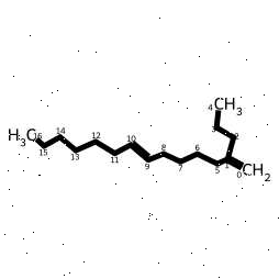 C=C(CCC)CCCCC=CCCCCCC